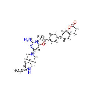 Nc1nc(O[C@H](c2ccc(-c3ccc4c(c3)OC(=O)CC4)cc2)C(F)(F)F)cc(N2CCC3(CC2)CN[C@H](C(=O)O)C3)n1